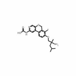 CC(C)CC(C)(N)COc1ccc2c(c1F)COc1cnc(NC(=O)O)cc1-2